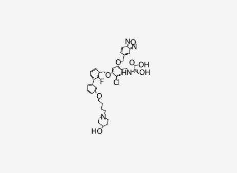 O=C(O)[C@@H](CO)NCc1cc(Cl)c(OCc2cccc(-c3cccc(OCCCCN4CCC(O)CC4)c3)c2F)cc1OCc1ccc2nonc2c1